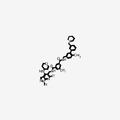 CCc1nc2c(cnn2CC)c(NC2CCOCC2)c1CNC(=O)c1cc(C)cc(C(=O)NCc2ccc(C)c(-c3cccc(CN4CCCCC4)c3)c2)c1